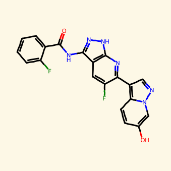 O=C(Nc1n[nH]c2nc(-c3cnn4cc(O)ccc34)c(F)cc12)c1ccccc1F